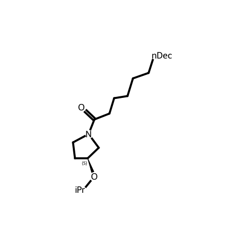 CCCCCCCCCCCCCCCC(=O)N1CC[C@H](OC(C)C)C1